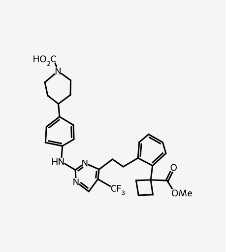 COC(=O)C1(c2ccccc2CCc2nc(Nc3ccc(C4CCN(C(=O)O)CC4)cc3)ncc2C(F)(F)F)CCC1